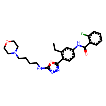 CCc1cc(NC(=O)c2ccccc2F)ccc1-c1nnc(NCCCCN2CCOCC2)o1